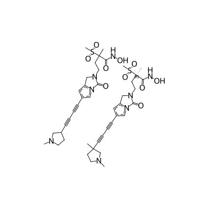 CN1CCC(C#CC#Cc2cc3n(c2)C(=O)N(CCC(C)(C(=O)NO)S(C)(=O)=O)C3)C1.CN1CCC(C)(C#CC#Cc2cc3n(c2)C(=O)N(CC[C@](C)(C(=O)NO)S(C)(=O)=O)C3)C1